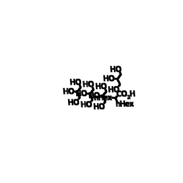 CCCCCCC(CCCCCC)C(=O)O.OCC(O)CO.OCC(O)CO.OCC(O)CO.OCC(O)CO